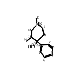 CCCC1(c2ccccc2)CCN(C)CC1C